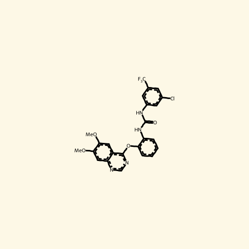 COc1cc2ncnc(Oc3ccccc3NC(=O)Nc3cc(Cl)cc(C(F)(F)F)c3)c2cc1OC